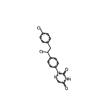 O=c1cnn(-c2ccc(C(Cl)Cc3ccc(Cl)cc3)cc2)c(=O)[nH]1